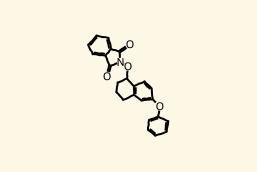 O=C1c2ccccc2C(=O)N1OC1CCCc2cc(Oc3ccccc3)ccc21